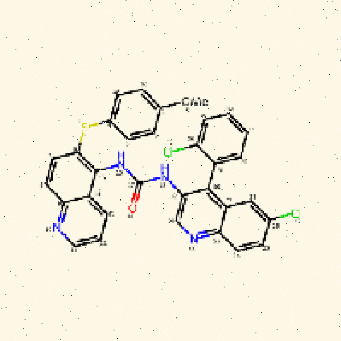 COc1ccc(Sc2ccc3ncccc3c2NC(=O)Nc2cnc3ccc(Cl)cc3c2-c2ccccc2Cl)cc1